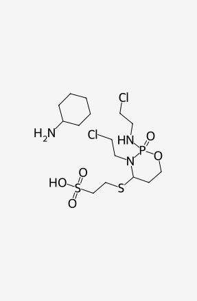 NC1CCCCC1.O=P1(NCCCl)OCCC(SCCS(=O)(=O)O)N1CCCl